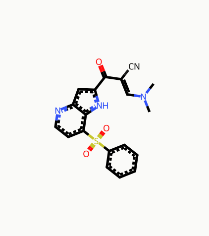 CN(C)C=C(C#N)C(=O)c1cc2nccc(S(=O)(=O)c3ccccc3)c2[nH]1